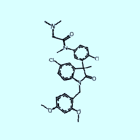 COc1ccc(CN2C(=O)C(C)(c3cc(N(C)C(=O)CN(C)C)ccc3Cl)c3cc(Cl)ccc32)c(OC)c1